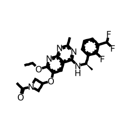 CCOc1nc2nc(C)nc(N[C@H](C)c3cccc(C(F)F)c3F)c2cc1OC1CN(C(C)=O)C1